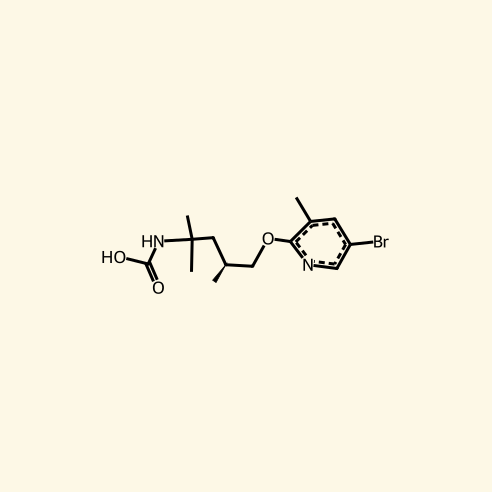 Cc1cc(Br)cnc1OC[C@@H](C)CC(C)(C)NC(=O)O